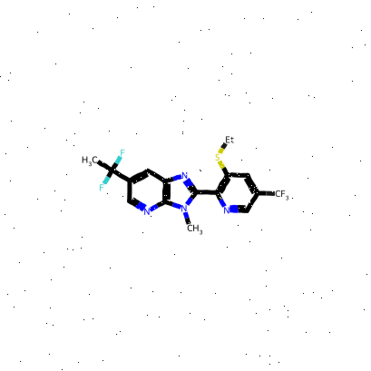 CCSc1cc(C(F)(F)F)cnc1-c1nc2cc(C(C)(F)F)cnc2n1C